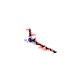 C=CCCOCCOCC(O)COCC(O)COCCOC(C)(F)CCOC(C)(N)C(C)(F)COC(C)(N)CCOCC(O)COCCO